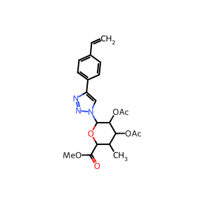 C=Cc1ccc(-c2cn(C3OC(C(=O)OC)C(C)C(OC(C)=O)C3OC(C)=O)nn2)cc1